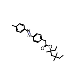 CCC(C)(C)CC(C)(CC)OC(=O)Cc1ccc(/N=N/c2ccc(C)cc2)cc1